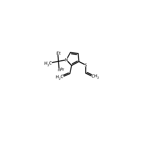 C=CSc1ccn(C(C)(CC)CCC)c1C=C